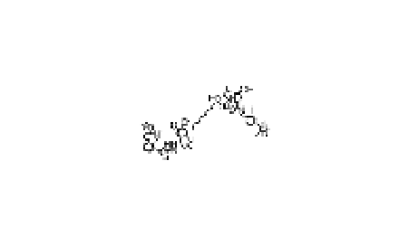 COc1cc2c(N[C@@H](C)c3cc(-c4ccccc4CN(C)C(=O)OC(C)(C)C)cs3)nc(C)nc2c(CCCCCCCCC(=O)NC(C(=O)N2C[C@H](O)C[C@H]2C(=O)NCc2ccc(-c3scnc3C)cc2)C(C)(C)C)c1OC